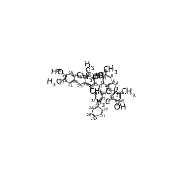 Cc1cc(Cc2cc(C)c(O)c(C(c3ccc(-c4ccccc4)cc3)c3c(C)c(Cc4cc(C)c(O)cc4C)cc(C)c3O)c2C)c(C)cc1O